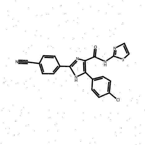 N#Cc1ccc(-c2nc(C(=O)Nc3nccs3)c(-c3ccc(Cl)cc3)[nH]2)cc1